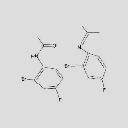 CC(=O)Nc1ccc(F)cc1Br.CC(C)=Nc1ccc(F)cc1Br